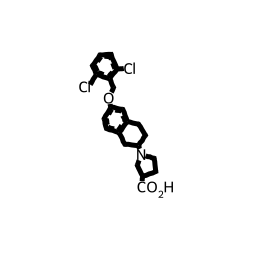 O=C(O)C1CCN(C2CCc3cc(OCc4c(Cl)cccc4Cl)ccc3C2)C1